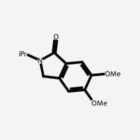 COc1cc2c(cc1OC)C(=O)N(C(C)C)C2